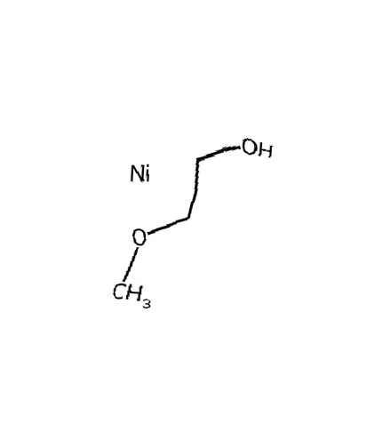 COCCO.[Ni]